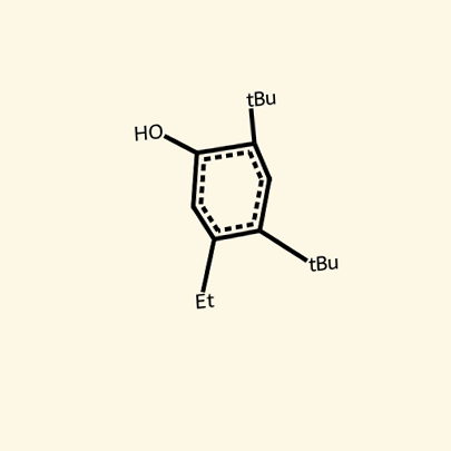 CCc1cc(O)c(C(C)(C)C)cc1C(C)(C)C